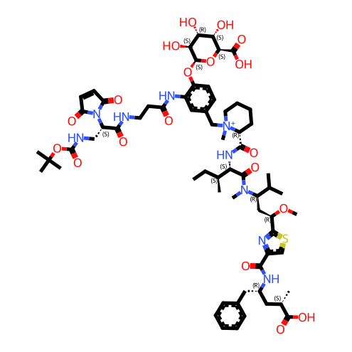 CC[C@H](C)[C@H](NC(=O)[C@H]1CCCC[N+]1(C)Cc1ccc(O[C@@H]2O[C@H](C(=O)O)[C@@H](O)[C@@H](O)[C@@H]2O)c(NC(=O)CCNC(=O)[C@H](CNC(=O)OC(C)(C)C)N2C(=O)C=CC2=O)c1)C(=O)N(C)[C@H](C[C@@H](OC)c1nc(C(=O)N[C@@H](Cc2ccccc2)C[C@H](C)C(=O)O)cs1)C(C)C